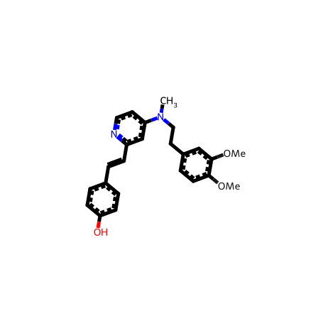 COc1ccc(CCN(C)c2ccnc(/C=C/c3ccc(O)cc3)c2)cc1OC